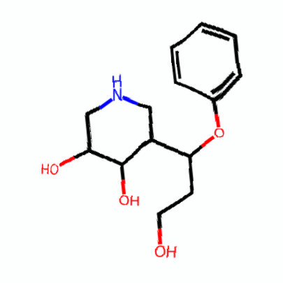 OCCC(Oc1ccccc1)C1CNCC(O)C1O